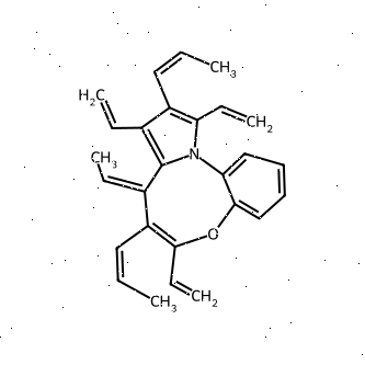 C=Cc1oc2ccccc2n2c(C=C)c(/C=C\C)c(C=C)c2/c(=C\C)c1/C=C\C